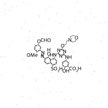 COc1ccc(OC=O)cc1N=Nc1ccc2c(S(=O)(=O)O)ccc(Nc3nc(Nc4ccc(O)c(C(=O)O)c4)nc(OCCN4CCOCC4)n3)c2c1O